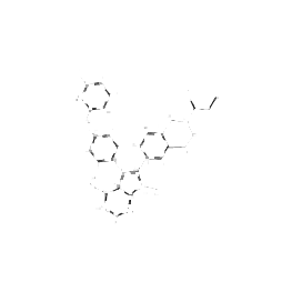 C=CC(=O)N1CCc2cc(-c3c(-c4ccc(Oc5cccc(C)n5)cc4)c4c(N)ncnc4n3C)ccc2C1